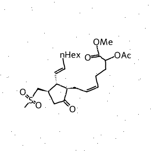 CCCCCC/C=C/[C@H]1[C@H](CS(C)(=O)=O)CC(=O)[C@@H]1C/C=C\CCC(OC(C)=O)C(=O)OC